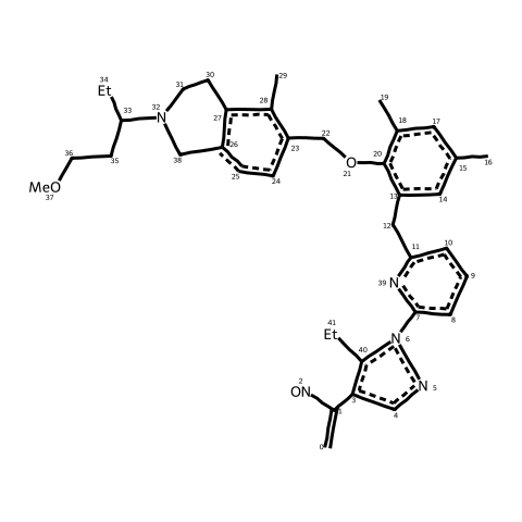 C=C(N=O)c1cnn(-c2cccc(Cc3cc(C)cc(C)c3OCc3ccc4c(c3C)CCN(C(CC)CCOC)C4)n2)c1CC